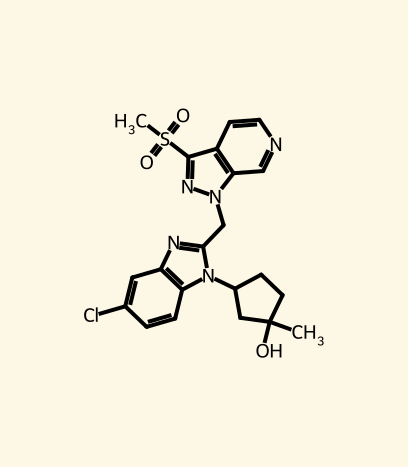 CC1(O)CCC(n2c(Cn3nc(S(C)(=O)=O)c4ccncc43)nc3cc(Cl)ccc32)C1